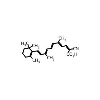 CC(C=CC1=C(C)CCCC1(C)C)=CC=CC(C)=CC=C(C#N)C(=O)O